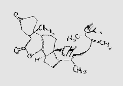 C=C(CC[C@@H](C)[C@H]1CC[C@H]2C3=C(CC[C@]12C)[C@@]1(C)CCC(=O)CC1C(=O)O3)C(C)C